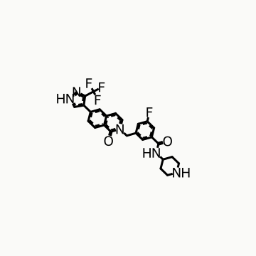 O=C(NC1CCNCC1)c1cc(F)cc(Cn2ccc3cc(-c4c[nH]nc4C(F)(F)F)ccc3c2=O)c1